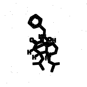 CC(C)C[C@H]1[C@@H]2N(CC(C)C)CC[C@@H]3C[C@H]1C(=O)N[C@@]32C(=O)NCc1ccccc1